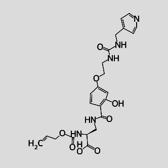 C=CCOC(=O)N[C@@H](CNC(=O)c1ccc(OCCNC(=O)NCc2ccncc2)cc1O)C(=O)O